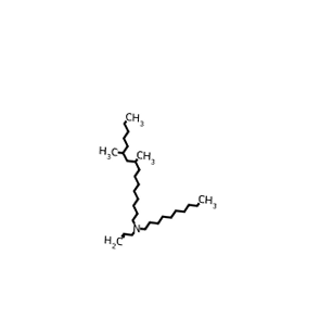 C=CCN(CCCCCCCCCC)CCCCCCCCC(C)CC(C)CCCCC